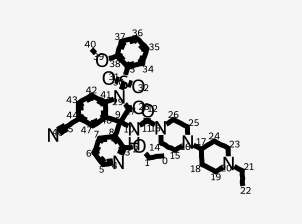 CCOc1ncccc1C1(NC(=O)N2CCN(C3CCN(CC)CC3)CC2)C(=O)N(S(=O)(=O)c2ccccc2OC)c2ccc(C#N)cc21